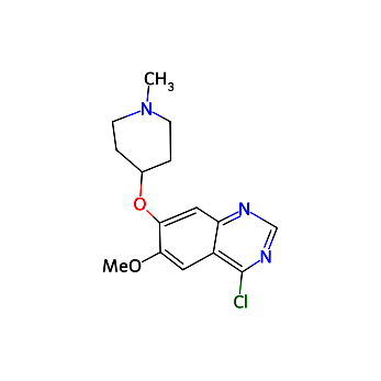 COc1cc2c(Cl)ncnc2cc1OC1CCN(C)CC1